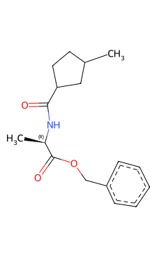 CC1CCC(C(=O)N[C@H](C)C(=O)OCc2ccccc2)C1